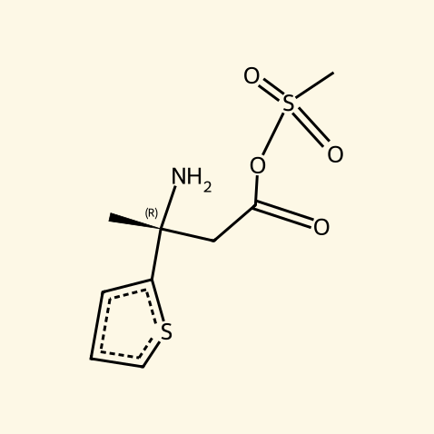 C[C@@](N)(CC(=O)OS(C)(=O)=O)c1cccs1